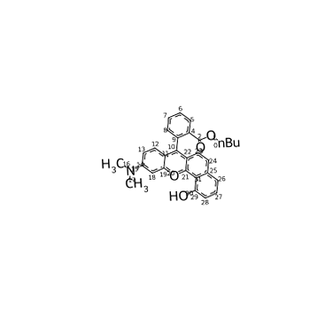 CCCCOC(=O)c1ccccc1-c1c2ccc(=[N+](C)C)cc-2oc2c1ccc1cccc(O)c12